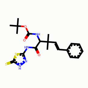 CC(C)(C)OC(=O)NC(C(=O)Nc1n[nH]c(=S)s1)C(C)(C)C=Cc1ccccc1